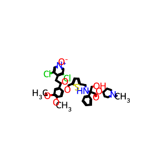 COc1ccc(C(Cc2c(Cl)c[n+]([O-])cc2Cl)OC(=O)c2ccc(CNC(CO)(C(=O)OC3CCN(C)CC3)c3ccccc3)s2)cc1OC